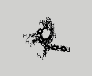 CC(C)C(=N)C(C)NC(=O)C1Cc2ccc(OCCN)c(c2)-c2cc(ccc2OCCN)C(N(C)C(=O)C(CCCCN)NC(=O)c2ccc(-c3ccc(Cl)cc3)cc2)C(=O)NC(C)C(=O)N1